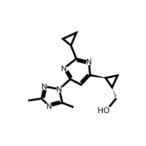 Cc1nc(C)n(-c2cc([C@H]3C[C@@H]3CO)nc(C3CC3)n2)n1